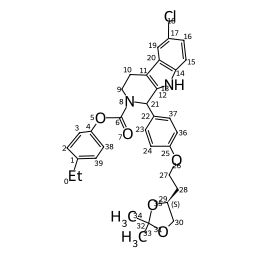 CCc1ccc(OC(=O)N2CCc3c([nH]c4ccc(Cl)cc34)C2c2ccc(OCC[C@H]3COC(C)(C)O3)cc2)cc1